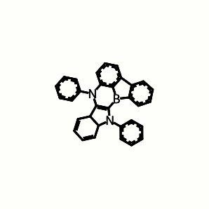 C1=CC2C3=C(B4c5ccccc5-c5cccc(c54)N3c3ccccc3)N(c3ccccc3)C2C=C1